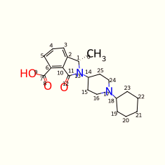 C[C@H]1c2cccc(C(=O)O)c2C(=O)N1C1CCN(C2CCCCC2)CC1